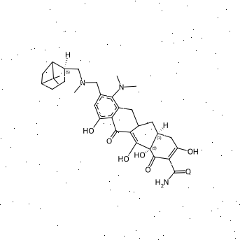 CN(Cc1cc(O)c2c(c1N(C)C)CC1C[C@H]3CC(O)=C(C(N)=O)C(=O)[C@@]3(O)C(O)=C1C2=O)C[C@H]1CCC2CC1C2(C)C